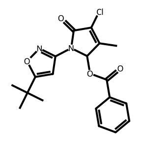 CC1=C(Cl)C(=O)N(c2cc(C(C)(C)C)on2)C1OC(=O)c1ccccc1